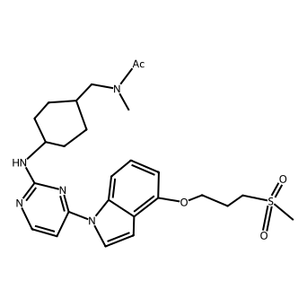 CC(=O)N(C)CC1CCC(Nc2nccc(-n3ccc4c(OCCCS(C)(=O)=O)cccc43)n2)CC1